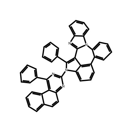 c1ccc(-c2nc(-n3c(-c4ccccc4)c4c5c(cccc53)c3ccccc3n3c5ccccc5nc43)nc3ccc4ccccc4c23)cc1